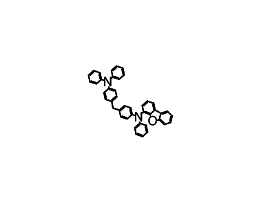 c1ccc(N(c2ccccc2)c2ccc(Cc3ccc(N(c4ccccc4)c4cccc5c4oc4ccccc45)cc3)cc2)cc1